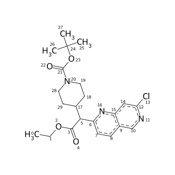 CCOC(=O)C(c1ccc2cnc(Cl)cc2n1)C1CCN(C(=O)OC(C)(C)C)CC1